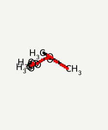 CCCCCCCCCCCCCCCCCC(=O)OC(CCCCCC)CCCCCCCCCCC(=O)OCC(COC(C)=O)OC(C)=O